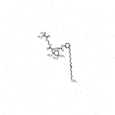 BC(=C)C(=O)OCCOC(=O)NCC1(C)CC(NC(=O)OC2=CC(CCCCCCC/C=C/CCCCCC)=CCC2)CC(C)(C)C1